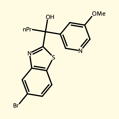 CCCC(O)(c1cncc(OC)c1)c1nc2cc(Br)ccc2s1